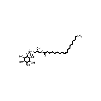 CCCCCCCC/C=C\CCCCCCCC(=O)OC[C@@H](O)COP(=O)(O)OC1[C@H](O)[C@H](O)C(O)[C@H](O)[C@H]1O